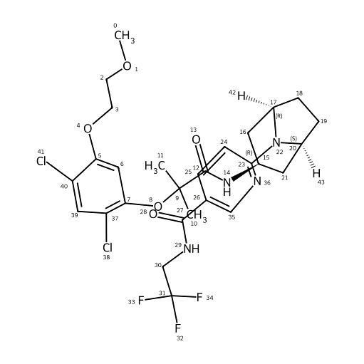 COCCOc1cc(OC(C)(C)C(=O)N[C@H]2C[C@H]3CC[C@@H](C2)N3c2ccc(C(=O)NCC(F)(F)F)cn2)c(Cl)cc1Cl